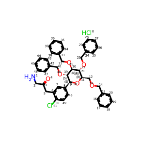 Cl.NCC(=O)Cc1cc([C@@H]2O[C@H](COCc3ccccc3)[C@@H](OCc3ccccc3)[C@H](OCc3ccccc3)[C@H]2OCc2ccccc2)ccc1Cl